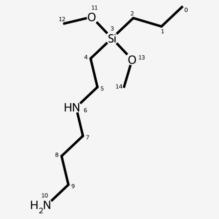 CCC[Si](CCNCCCN)(OC)OC